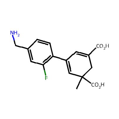 CC1(C(=O)O)C=C(c2ccc(CN)cc2F)C=C(C(=O)O)C1